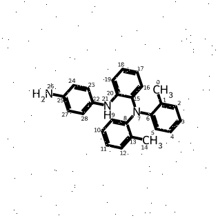 Cc1ccccc1N(c1ccccc1C)c1ccccc1Nc1ccc(N)cc1